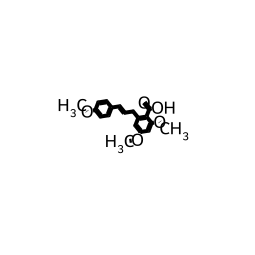 COc1ccc(/C=C/Cc2cc(OC)cc(OC)c2C(=O)O)cc1